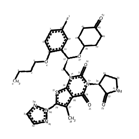 CCCCOc1ccc(F)cc1[C@H](Cn1c(=O)n([C@H]2CCNC2=O)c(=O)c2c(C)c(-n3nccn3)sc21)OC1CCC(=O)CC1